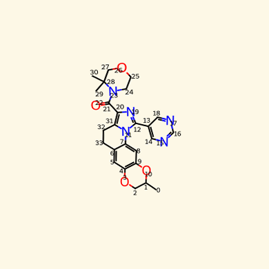 CC1COc2cc3c(cc2O1)-n1c(-c2cncnc2)nc(C(=O)N2CCOCC2(C)C)c1CC3